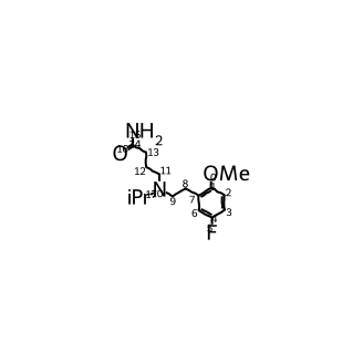 COc1ccc(F)cc1CCN(CCCC(N)=O)C(C)C